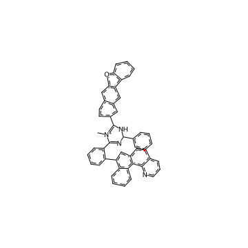 C[N+]1=C(c2ccc3cc4oc5ccccc5c4cc3c2)NC(c2ccccc2)N=C1c1ccccc1-c1cc2ccc3cccnc3c2c2ccccc12